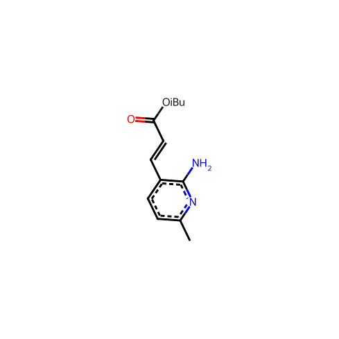 Cc1ccc(/C=C/C(=O)OCC(C)C)c(N)n1